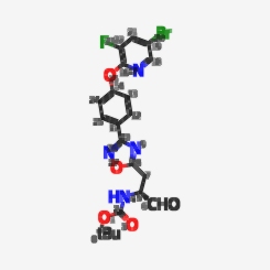 CC(C)(C)OC(=O)N[C@H](C=O)Cc1nc(-c2ccc(Oc3ncc(Br)cc3F)cc2)no1